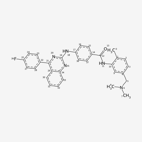 Cc1ccc(CN(C)C)cc1NC(=O)c1ccc(Nc2nc(-c3ccc(F)cc3)c3ccccc3n2)cc1